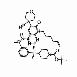 C=CCCCCn1c(=O)c(C2(C#N)CCOCC2)cc2c(N[C@H](C)c3cccc(C(F)(F)C4CCN(C(=O)OC(C)(C)C)CC4)c3)ncnc21